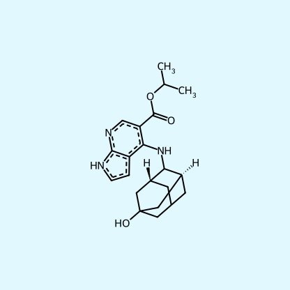 CC(C)OC(=O)c1cnc2[nH]ccc2c1NC1[C@@H]2CC3C[C@H]1CC(O)(C3)C2